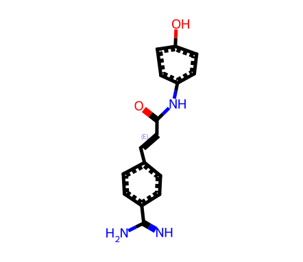 N=C(N)c1ccc(/C=C/C(=O)Nc2ccc(O)cc2)cc1